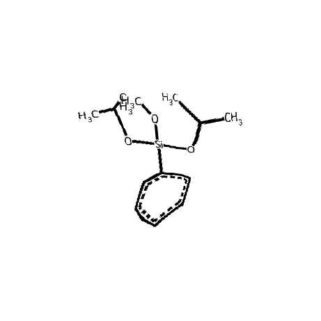 CO[Si](OC(C)C)(OC(C)C)c1ccccc1